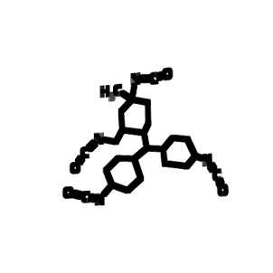 CC1(N=C=O)CCC(C(C2CCC(N=C=O)CC2)C2CCC(N=C=O)CC2)C(CN=C=O)C1